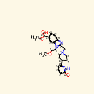 COCCn1c(CN2CCC(c3cccc(=O)[nH]3)CC2)nc2ccc(C(O)OC)cc21